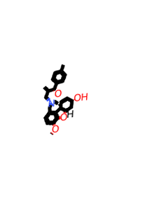 COc1ccc2c3c1O[C@H]1C[C@@H](O)C=C[C@]31CCN(CC(C)C(=O)c1ccc(C)cc1)C2